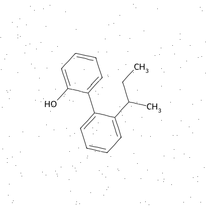 CCC(C)c1ccccc1-c1ccccc1O